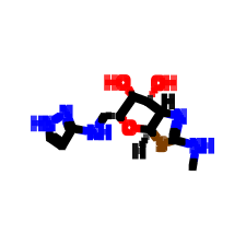 CNC1=N[C@@H]2[C@@H](O)[C@H](O)[C@@H](CNc3cc[nH]n3)O[C@@H]2S1